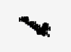 C/C(=C\CC/C(C)=C/CCC1(C)CCc2c(CN3CCCCC3)c(O)cc(C)c2O1)CCC=C(CO)CO